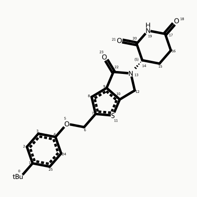 CC(C)(C)c1ccc(OCc2cc3c(s2)CN([C@H]2CCC(=O)NC2=O)C3=O)cc1